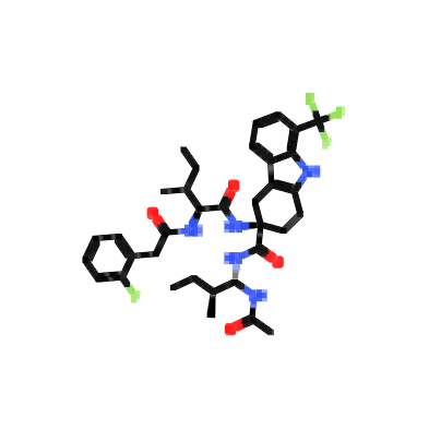 CCC(C)[C@H](NC(=O)Cc1ccccc1F)C(=O)N[C@]1(C(=O)N[C@H](NC(C)=O)[C@@H](C)CC)CCc2[nH]c3c(C(F)(F)F)cccc3c2C1